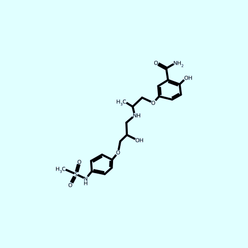 CC(COc1ccc(O)c(C(N)=O)c1)NCC(O)COc1ccc(NS(C)(=O)=O)cc1